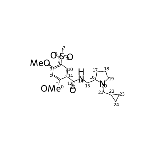 COc1cc(OC)c(S(C)(=O)=O)cc1C(=O)NCC1CCCN1CC1CC1